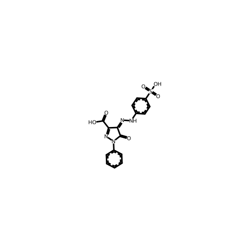 O=C(O)C1=NN(c2ccccc2)C(=O)/C1=N\Nc1ccc(S(=O)(=O)O)cc1